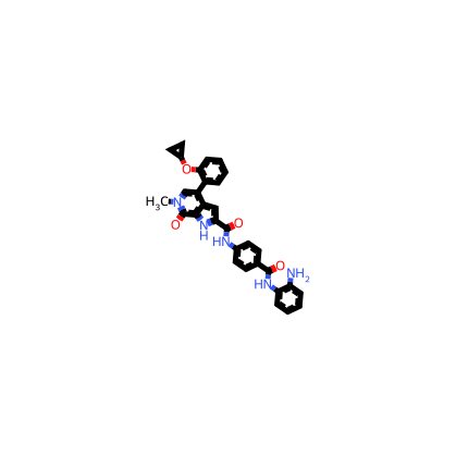 Cn1cc(-c2ccccc2OC2CC2)c2cc(C(=O)Nc3ccc(C(=O)Nc4ccccc4N)cc3)[nH]c2c1=O